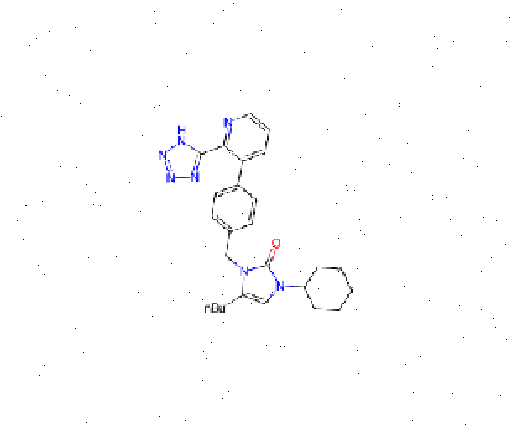 CCCCc1cn(C2CCCCC2)c(=O)n1Cc1ccc(-c2cccnc2-c2nnn[nH]2)cc1